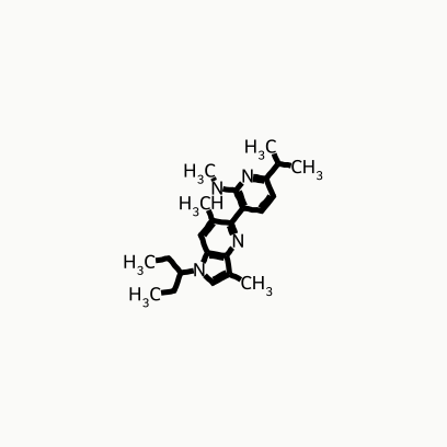 CCC(CC)n1cc(C)c2nc(-c3ccc(C(C)C)nc3NC)c(C)cc21